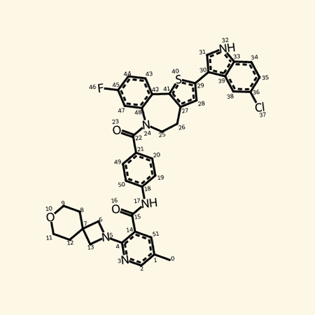 Cc1cnc(N2CC3(CCOCC3)C2)c(C(=O)Nc2ccc(C(=O)N3CCc4cc(-c5c[nH]c6ccc(Cl)cc56)sc4-c4ccc(F)cc43)cc2)c1